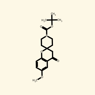 COc1ccc2c(c1)C(=O)CC1(CCN(C(=O)OC(C)(C)C)CC1)O2